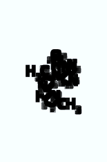 Cc1ccc(F)c(-c2cc(Nc3ccnc4cnn([C@H]5CCOC5)c34)c(C)cn2)n1